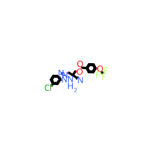 N#CC(N)(COC(=O)c1ccc(OC(F)(F)F)cc1)Cn1nc2ccc(Cl)cc2n1